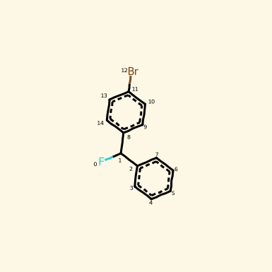 FC(c1ccccc1)c1ccc(Br)cc1